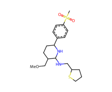 COCC1CCC(c2ccc(S(C)(=O)=O)cc2)NC1NCC1CCCS1